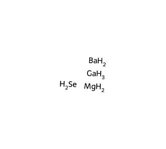 [BaH2].[GaH3].[MgH2].[SeH2]